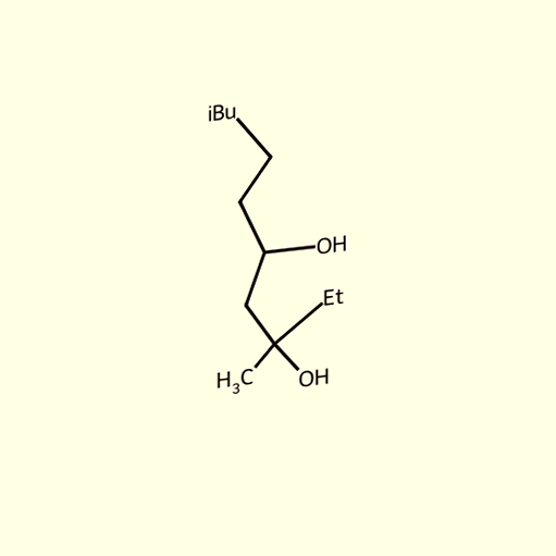 CCC(C)CCC(O)CC(C)(O)CC